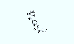 CN(C(=O)Oc1ccc(NC(=S)NC(C)(C)C)cn1)c1ccccc1